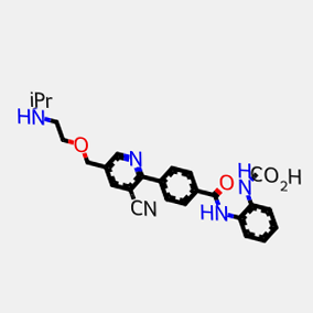 CC(C)NCCOCc1cnc(-c2ccc(C(=O)Nc3ccccc3NC(=O)O)cc2)c(C#N)c1